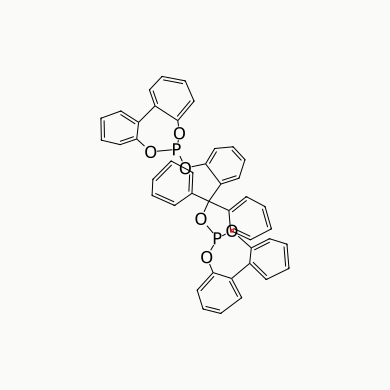 c1ccc(C(Op2oc3ccccc3c3ccccc3o2)(c2ccccc2)c2ccccc2Op2oc3ccccc3c3ccccc3o2)cc1